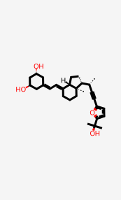 C[C@H](C#Cc1ccc(C(C)(C)O)o1)[C@H]1CC[C@H]2/C(=C/C=C3C[C@@H](O)C[C@H](O)C3)CCC[C@]12C